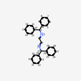 C(C=NC(c1ccccc1)c1ccccc1)=NC(c1ccccc1)c1ccccc1